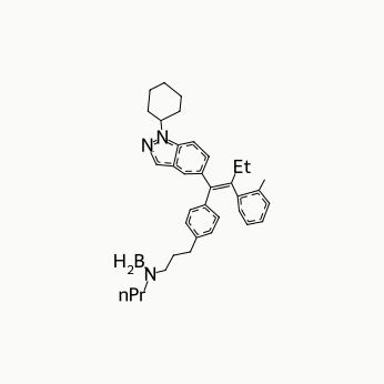 BN(CCC)CCCc1ccc(/C(=C(/CC)c2ccccc2C)c2ccc3c(cnn3C3CCCCC3)c2)cc1